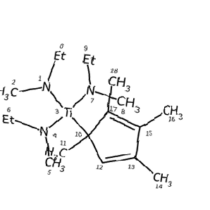 CC[N](C)[Ti]([N](C)CC)([N](C)CC)[C]1(C)C=C(C)C(C)=C1C